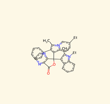 CCc1ccc2c(C3(c4c(C)n(CC)c5ccccc45)OC(=O)c4nccnc43)c(-c3ccccc3)c(C)n2c1